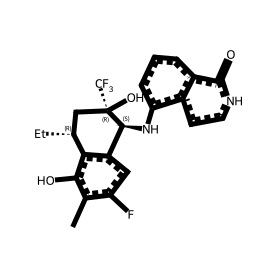 CC[C@@H]1C[C@](O)(C(F)(F)F)[C@@H](Nc2cccc3c(=O)[nH]ccc23)c2cc(F)c(C)c(O)c21